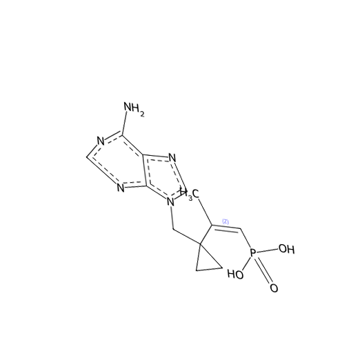 C/C(=C/P(=O)(O)O)C1(Cn2cnc3c(N)ncnc32)CC1